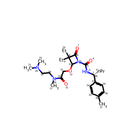 CCC[C@@H](NC(=O)N1C(=O)C(CC)(CC)C1OCC(=O)N(C)CCN(C)C)c1ccc(C)cc1